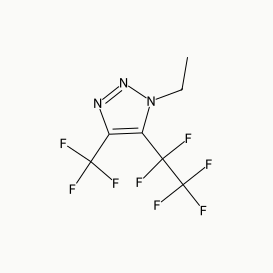 CCn1nnc(C(F)(F)F)c1C(F)(F)C(F)(F)F